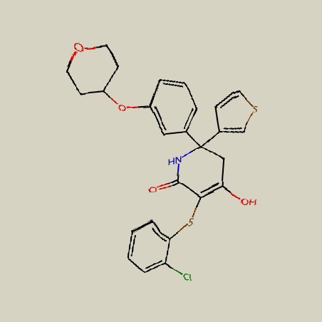 O=C1NC(c2ccsc2)(c2cccc(OC3CCOCC3)c2)CC(O)=C1Sc1ccccc1Cl